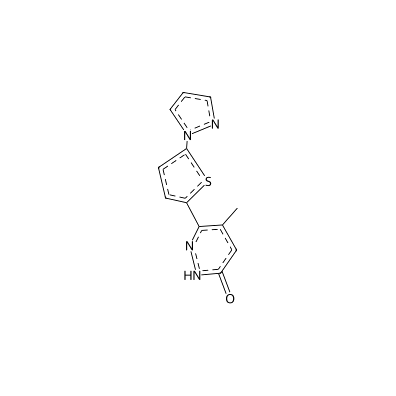 Cc1cc(=O)[nH]nc1-c1ccc(-n2cccn2)s1